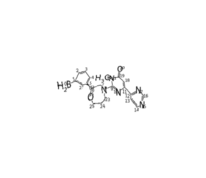 Bc1cccc([C@H]2CN(c3nc(-c4ccncn4)cc(=O)n3C)CCCO2)c1